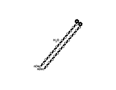 CCCCCCCCCCCCOCCOCCOCCOCCOCCOCCOCCOCCOCCOCCOCCOCCOc1ccccc1.CCCCCCCCCCCCOCCOCCOCCOCCOCCOCCOCCOCCOCCOCCOCCOCCOc1ccccc1.O